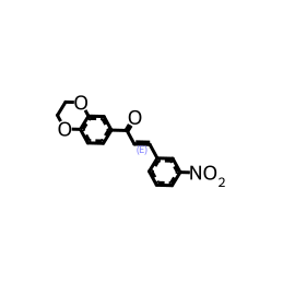 O=C(/C=C/c1cccc([N+](=O)[O-])c1)c1ccc2c(c1)OCCO2